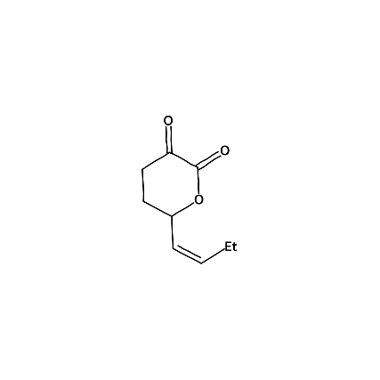 CC/C=C\C1CCC(=O)C(=O)O1